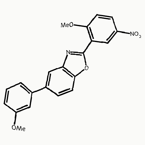 COc1cccc(-c2ccc3oc(-c4cc([N+](=O)[O-])ccc4OC)nc3c2)c1